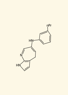 CCCc1cccc(NC2=CCc3cc[nH]c3N=C2)c1